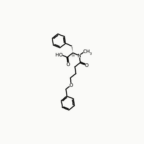 CN(C(=O)CCCOCc1ccccc1)[C@@H](Cc1ccccc1)C(=O)O